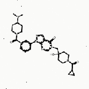 CN(C)C1CCN(C(=O)c2cccc(-n3ncc4c(=O)n(CC5(O)CCN(C(=O)C6CC6)CC5)cnc43)c2)CC1